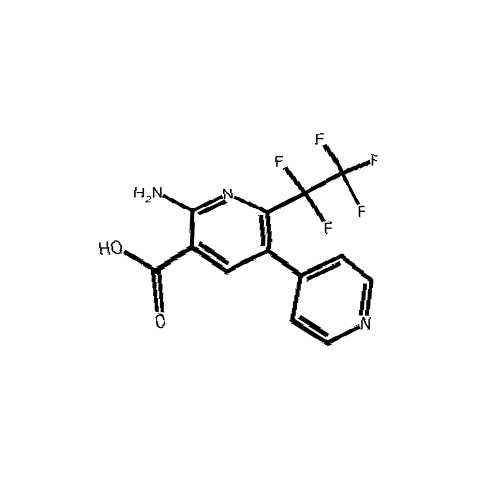 Nc1nc(C(F)(F)C(F)(F)F)c(-c2ccncc2)cc1C(=O)O